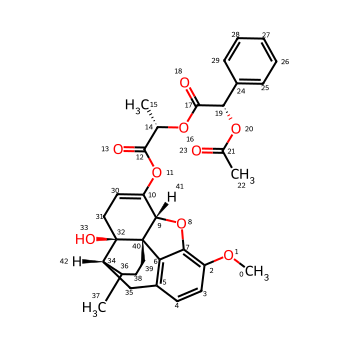 COc1ccc2c3c1O[C@H]1C(OC(=O)[C@H](C)OC(=O)[C@@H](OC(C)=O)c4ccccc4)=CC[C@@]4(O)[C@@H](C2)C(C)CC[C@]314